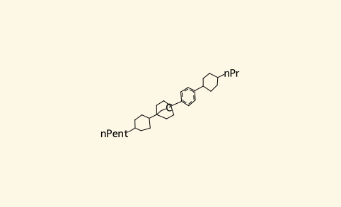 CCCCCC1CCC(C23CCC(c4ccc(C5CCC(CCC)CC5)cc4)(CC2)CC3)CC1